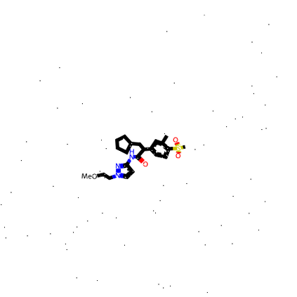 COCCn1ccc(NC(=O)C(CC2CCCC2)c2ccc(S(C)(=O)=O)c(C)c2)n1